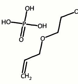 C=CCOCC[O].O=P(O)(O)O